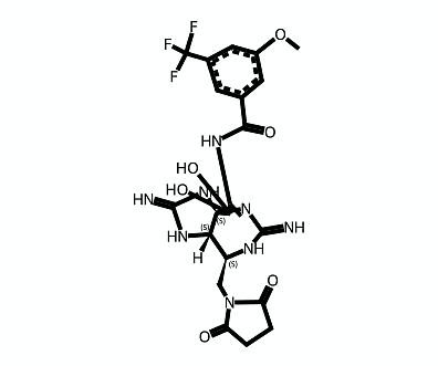 COc1cc(C(=O)NC2CN3C(=N)N[C@@H](CN4C(=O)CCC4=O)[C@@H]4NC(=N)N[C@@]43C2(O)O)cc(C(F)(F)F)c1